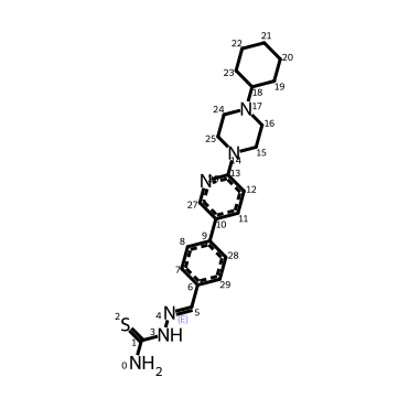 NC(=S)N/N=C/c1ccc(-c2ccc(N3CCN(C4CCCCC4)CC3)nc2)cc1